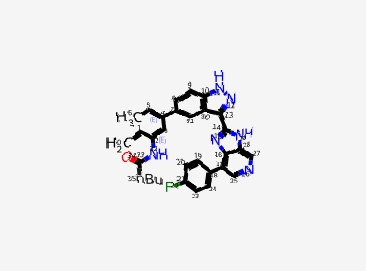 C=C/C(=C\C(=C/C)c1ccc2[nH]nc(-c3nc4c(-c5ccc(F)cc5)cncc4[nH]3)c2c1)NC(=O)CCCC